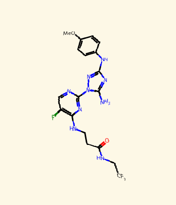 COc1ccc(Nc2nc(N)n(-c3ncc(F)c(NCCC(=O)NCC(F)(F)F)n3)n2)cc1